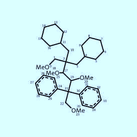 COCC(CC1CCCCC1)(CC1CCCCC1)C(OC)C(OC)C(COC)(c1ccccc1)c1ccccc1